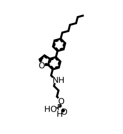 CCCCCCc1ccc(-c2ccc(CNCCCO[PH](=O)O)c3occc23)cc1